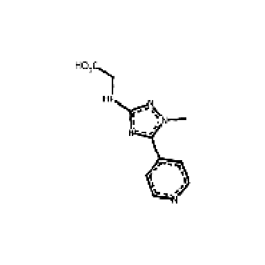 Cn1nc(PCC(=O)O)nc1-c1ccncc1